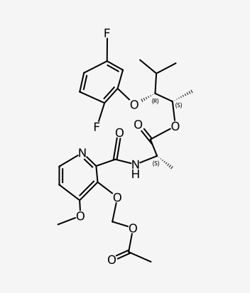 COc1ccnc(C(=O)N[C@@H](C)C(=O)O[C@@H](C)[C@H](Oc2cc(F)ccc2F)C(C)C)c1OCOC(C)=O